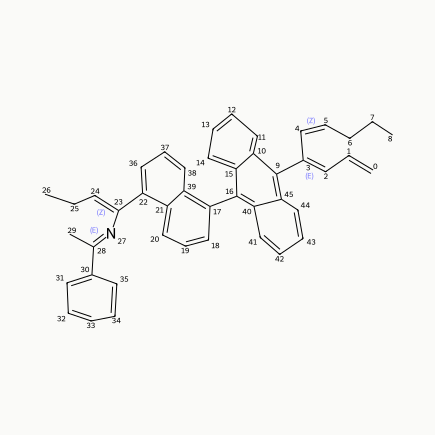 C=C/C=C(\C=C/CCC)c1c2ccccc2c(-c2cccc3c(C(=C/CC)/N=C(\C)c4ccccc4)cccc23)c2ccccc12